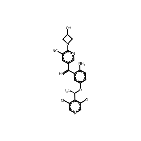 C[C@@H](Oc1ccc(N)c(C(=N)c2cnc(N3CC(O)C3)c(C#N)c2)c1)c1c(Cl)cncc1Cl